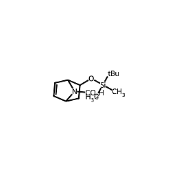 CC(C)(C)[Si](C)(C)OC1CC2C=CC1N2C(=O)O